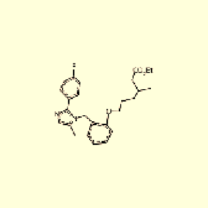 CCOC(=O)CC(C)CCCOc1ccccc1Cn1c(C)cnc1-c1ccc(F)cc1